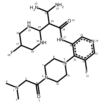 CN(C)CC(=O)N1CCN(c2c(F)cncc2NC(=O)C(C(N)N)C2NCC(F)CN2)CC1